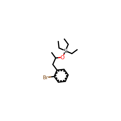 CC[Si](CC)(CC)OC(C)Cc1ccccc1Br